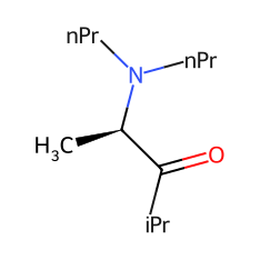 CCCN(CCC)[C@H](C)C(=O)C(C)C